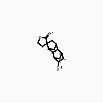 O=C1OCCC12CC1CC2C2C3CC(CC3O)C12